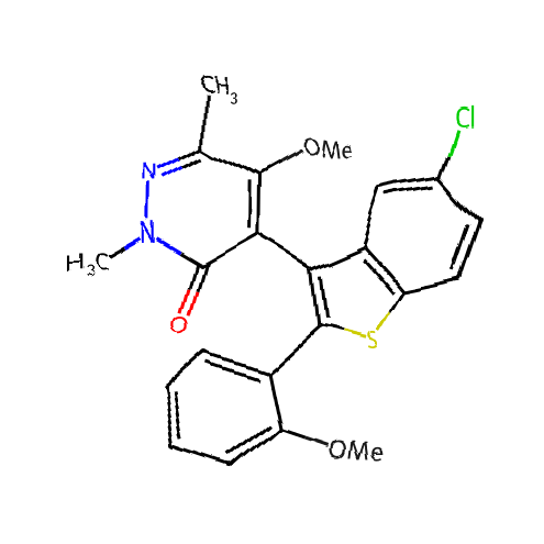 COc1ccccc1-c1sc2ccc(Cl)cc2c1-c1c(OC)c(C)nn(C)c1=O